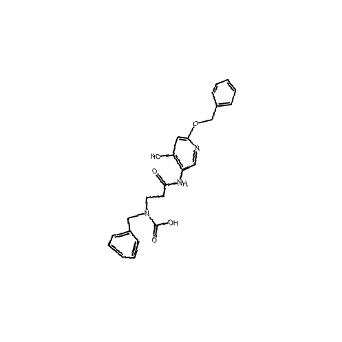 O=C(CCN(Cc1ccccc1)C(=O)O)Nc1cnc(OCc2ccccc2)cc1O